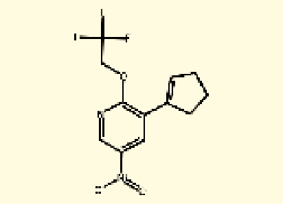 O=[N+]([O-])c1cnc(OCC(F)(F)F)c(C2=CCCC2)c1